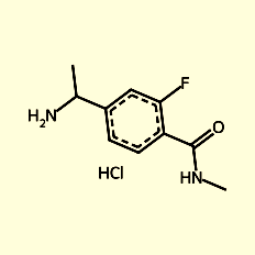 CNC(=O)c1ccc(C(C)N)cc1F.Cl